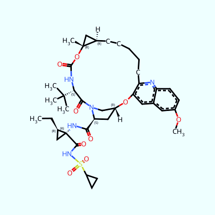 CC[C@@H]1C[C@]1(NC(=O)[C@@H]1C[C@@H]2CN1C(=O)[C@H](C(C)(C)C)NC(=O)O[C@]1(C)C[C@H]1CCCCCc1nc3ccc(OC)cc3cc1O2)C(=O)NS(=O)(=O)C1CC1